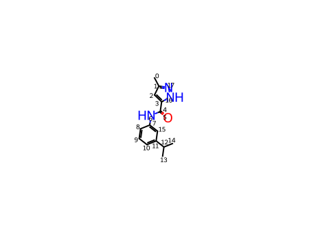 Cc1cc(C(=O)Nc2cccc(C(C)C)c2)[nH]n1